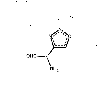 NN(C=O)c1conn1